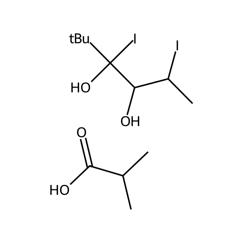 CC(C)C(=O)O.CC(I)C(O)C(O)(I)C(C)(C)C